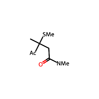 CNC(=O)CC(C)(SC)C(C)=O